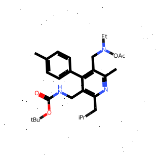 CCN(Cc1c(C)nc(CC(C)C)c(CNC(=O)OC(C)(C)C)c1-c1ccc(C)cc1)OC(C)=O